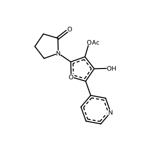 CC(=O)Oc1c(N2CCCC2=O)oc(-c2cccnc2)c1O